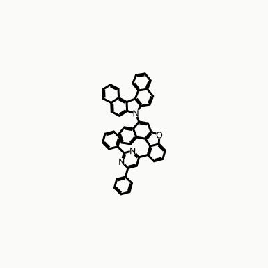 c1ccc(-c2cc(-c3cccc4oc5cc(-n6c7ccc8ccccc8c7c7c8ccccc8ccc76)c6ccccc6c5c34)nc(-c3ccccc3)n2)cc1